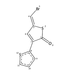 O=C1SC(=CBr)C=C1c1cccs1